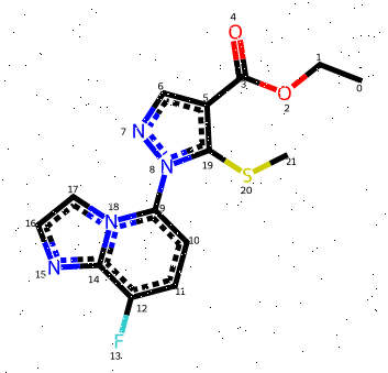 CCOC(=O)c1cnn(-c2ccc(F)c3nccn23)c1SC